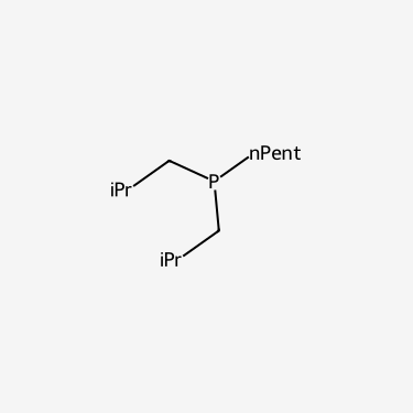 CCCCCP(CC(C)C)CC(C)C